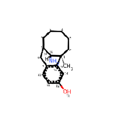 C[C@]12CCCCCC(Cc3ccc(O)cc31)[C@@H]2N